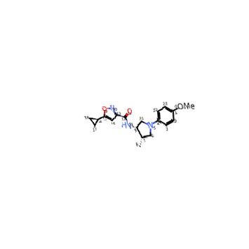 COc1ccc(N2C[C@H](C)[C@H](NC(=O)c3cc(C4CC4)on3)C2)cc1